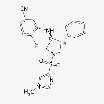 Cn1cnc(S(=O)(=O)N2C[C@@H](Nc3cc(C#N)ccc3F)[C@H](c3ccccc3)C2)c1